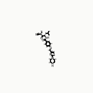 CC(C)C[C@H](NC(=O)c1ccc(OCc2csc(N3CCNCC3)n2)cc1)C(=O)N(C)C#N